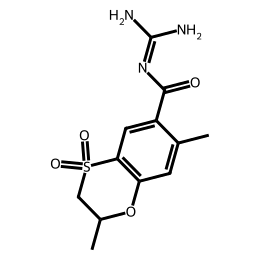 Cc1cc2c(cc1C(=O)N=C(N)N)S(=O)(=O)CC(C)O2